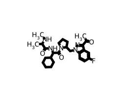 CNC(C)C(=O)NC(C(=O)N1CCCC1Cn1nc(C(C)=O)c2cc(F)ccc21)C1CCCCC1